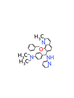 CCN(CC)c1ccc(C(Nc2ccccn2)c2ccc3ccc(C)nc3c2OCc2ccccc2)cc1